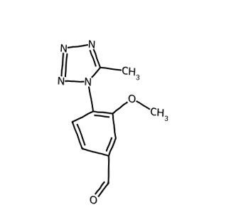 COc1cc(C=O)ccc1-n1nnnc1C